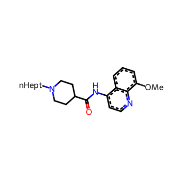 CCCCCCCN1CCC(C(=O)Nc2ccnc3c(OC)cccc23)CC1